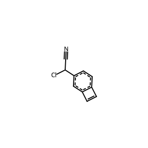 N#CC(Cl)c1ccc2c(c1)C=C2